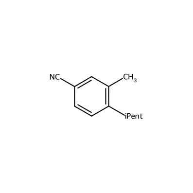 CCCC(C)c1ccc(C#N)cc1C